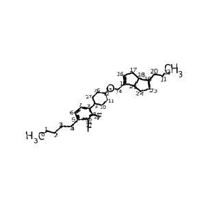 CCCCCc1ccc(C2CCC(OCC3=CCC4C(CCC)CCC34)CC2)c(F)c1F